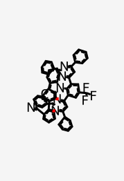 N#Cc1ccccc1-c1ccc2c3ccccc3n(-c3c(-c4cc(-c5ccccc5)nc(-c5ccccc5)n4)cc(C(F)(F)F)cc3-c3cc(-c4ccccc4)nc(-c4ccccc4)n3)c2c1